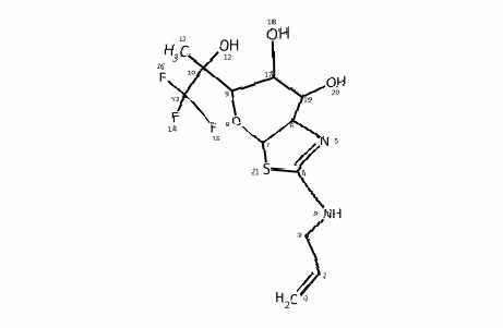 C=CCNC1=NC2C(OC(C(C)(O)C(F)(F)F)C(O)C2O)S1